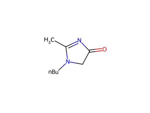 CCCCN1CC(=O)N=C1C